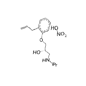 C=CCc1ccccc1OC[C@@H](O)CNC(C)C.O=[N+]([O-])O